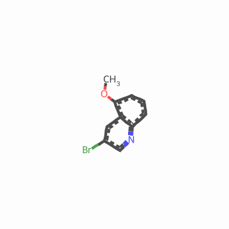 COc1cccc2ncc(Br)cc12